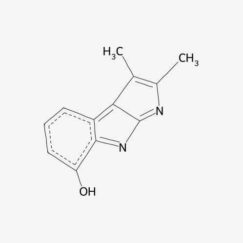 CC1=C(C)C2=c3cccc(O)c3=NC2=N1